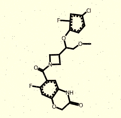 COCC(Oc1ccc(Cl)cc1F)C1CN(C(=O)c2cc3c(cc2F)OCC(=O)N3)C1